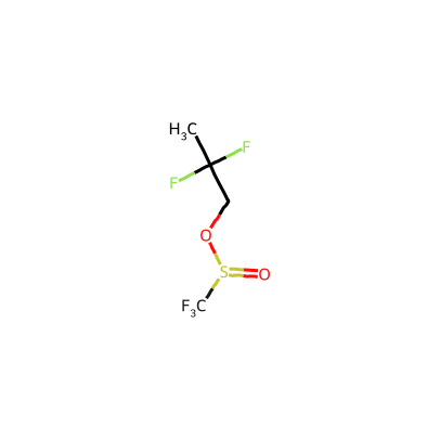 CC(F)(F)COS(=O)C(F)(F)F